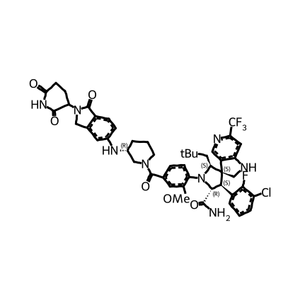 COc1cc(C(=O)N2CCC[C@@H](Nc3ccc4c(c3)CN(C3CCC(=O)NC3=O)C4=O)C2)ccc1N1[C@@H](CC(C)(C)C)[C@@]2(CNc3cc(C(F)(F)F)ncc32)[C@@H](c2cccc(Cl)c2F)[C@@H]1C(N)=O